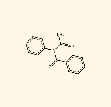 N=C(N)N(C(=O)c1ccccc1)c1ccccc1